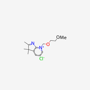 COCCOC[n+]1cccc2c1N=C(C)C2(C)C.[Cl-]